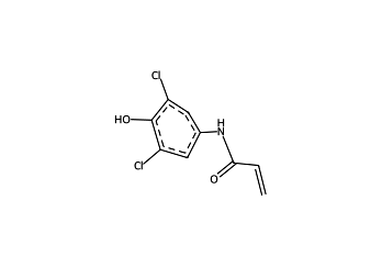 C=CC(=O)Nc1cc(Cl)c(O)c(Cl)c1